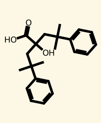 CC(C)(CC(O)(CC(C)(C)c1ccccc1)C(=O)O)c1ccccc1